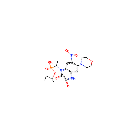 CCC(C)OP(=O)(O)C(C)n1c(=O)c(=O)[nH]c2cc(N3CCOCC3)c([N+](=O)[O-])cc21